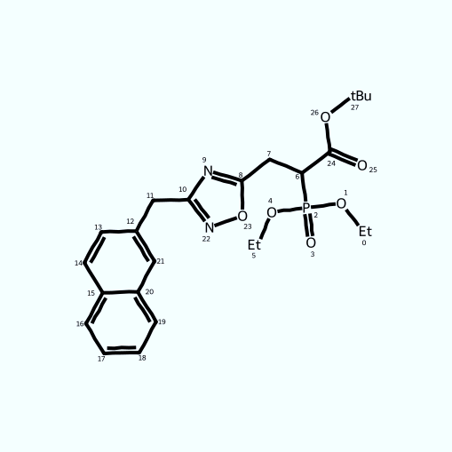 CCOP(=O)(OCC)C(Cc1nc(Cc2ccc3ccccc3c2)no1)C(=O)OC(C)(C)C